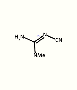 [CH2]N/C(N)=N\C#N